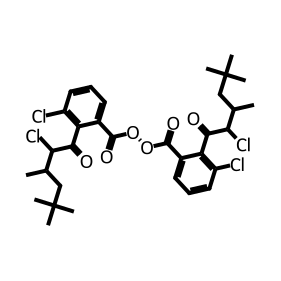 CC(CC(C)(C)C)C(Cl)C(=O)c1c(Cl)cccc1C(=O)OOC(=O)c1cccc(Cl)c1C(=O)C(Cl)C(C)CC(C)(C)C